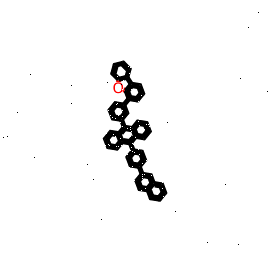 C1=CC2Oc3c(-c4cccc(-c5c6ccccc6c(-c6ccc(-c7ccc8ccccc8c7)cc6)c6ccccc56)c4)cccc3C2C=C1